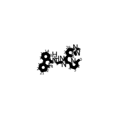 Cc1cccc(-c2nc(CNCc3ccccc3-c3ccccc3F)[nH]c2-c2ccc3ncnn3c2)n1